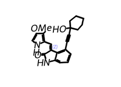 COc1cc[nH]c1/C=C1\C(=O)Nc2cccc(C#CC3(O)CCCCC3)c21